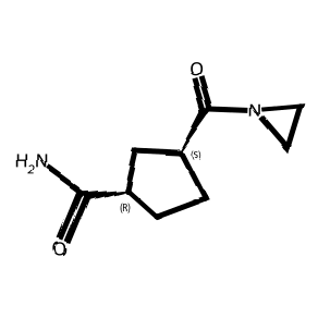 NC(=O)[C@@H]1CC[C@H](C(=O)N2CC2)C1